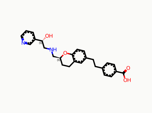 O=C(O)c1ccc(CCc2ccc3c(c2)CC[C@@H](CNC[C@@H](O)c2cccnc2)O3)cc1